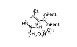 CCCCCN(CCCCC)/C(=N\CC)NC(=N)N.O=[N+]([O-])O